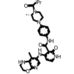 Cc1c(Nc2cc[nH]c(=O)c2C(=O)Nc2ccc(N3CCN(C(=O)C(C)C)[C@@H](C)C3)cc2)cnc2c1NCCO2